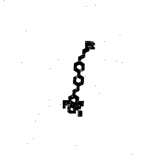 CC/C=C/CC[C@H]1CC[C@H]([C@H]2CC[C@H](CCc3cc(F)c(C(F)(F)F)c(F)c3)CC2)CC1